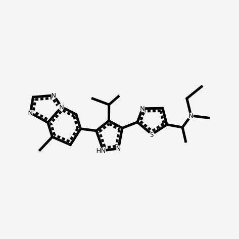 CCN(C)C(C)c1cnc(-c2n[nH]c(-c3cc(C)c4ncnn4c3)c2C(C)C)s1